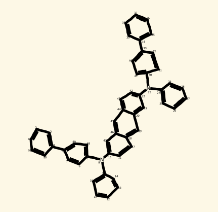 c1ccc(-c2ccc(N(c3ccccc3)c3ccc4cc5cc(N(c6ccccc6)c6ccc(-c7ccccc7)cc6)ccc5cc4c3)cc2)cc1